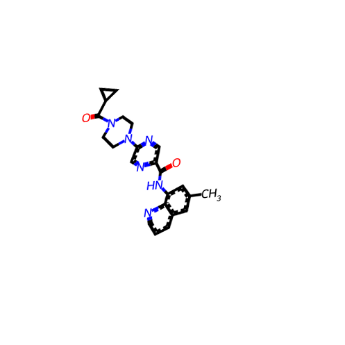 Cc1cc(NC(=O)c2cnc(N3CCN(C(=O)C4CC4)CC3)cn2)c2ncccc2c1